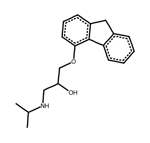 CC(C)NCC(O)COc1cccc2c1-c1ccccc1C2